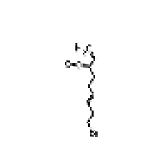 C=CC(=C=O)CCC=CCCBr